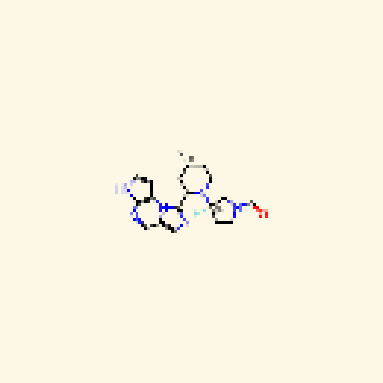 C[C@@H]1CCN([C@]2(F)CCN(C=O)C2)C(c2ncc3cnc4[nH]ccc4n23)C1